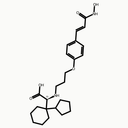 O=C(C=Cc1ccc(OCCCN[C@H](C(=O)O)C2(C3CCCC3)CCCCC2)cc1)NO